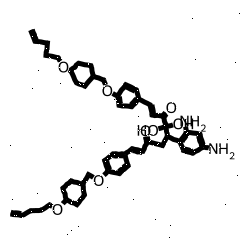 C=CCCCOC1CCC(COc2ccc(C=CC(=O)CC(c3ccc(N)cc3N)C(O)(O)C(=O)C=Cc3ccc(OCC4CCC(OCCCC=C)CC4)cc3)cc2)CC1